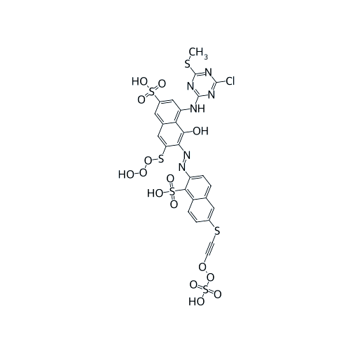 CSc1nc(Cl)nc(Nc2cc(S(=O)(=O)O)cc3cc(SOOO)c(N=Nc4ccc5cc(SC#COOS(=O)(=O)O)ccc5c4S(=O)(=O)O)c(O)c23)n1